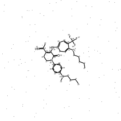 CCCCCOC1=CCC(NC2=C(C(C)=N)CCN(c3ccc(N(C)CCCC)cc3)C2=O)=CC=C1C(F)(F)F